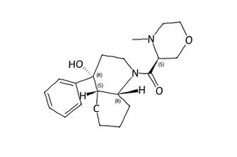 CN1CCOC[C@H]1C(=O)N1CC[C@](O)(c2ccccc2)[C@H]2CCCC[C@H]21